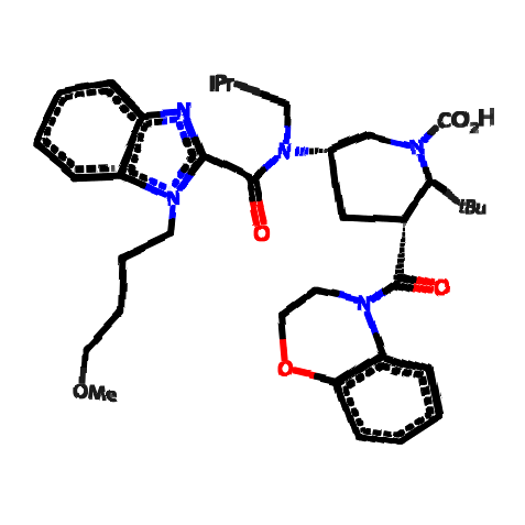 COCCCCn1c(C(=O)N(CC(C)C)[C@H]2C[C@@H](C(=O)N3CCOc4ccccc43)C(C(C)(C)C)N(C(=O)O)C2)nc2ccccc21